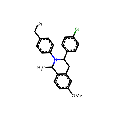 COc1ccc2c(c1)CC(c1ccc(Br)cc1)N(c1ccc(CC(C)C)cc1)C2C